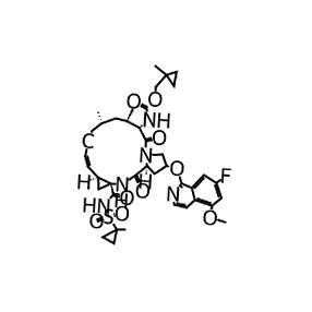 COc1cc(F)cc2c(O[C@@H]3C[C@H]4C(=O)N[C@]5(C(=O)NS(=O)(=O)C6(C)CC6)C[C@H]5/C=C\CC[C@H](C)C[C@@H](C)[C@H](NC(=O)OCC5(C)CC5)C(=O)N4C3)nccc12